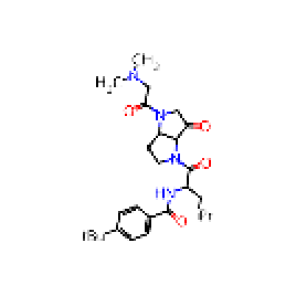 CC(C)CC(NC(=O)c1ccc(C(C)(C)C)cc1)C(=O)N1CCC2C1C(=O)CN2C(=O)CN(C)C